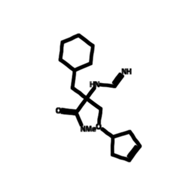 CNC(=O)C(COC1CC=CC1)(CC1CCCCC1)NC=N